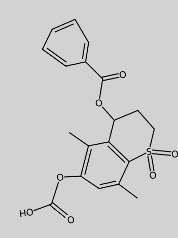 Cc1cc(OC(=O)O)c(C)c2c1S(=O)(=O)CCC2OC(=O)c1ccccc1